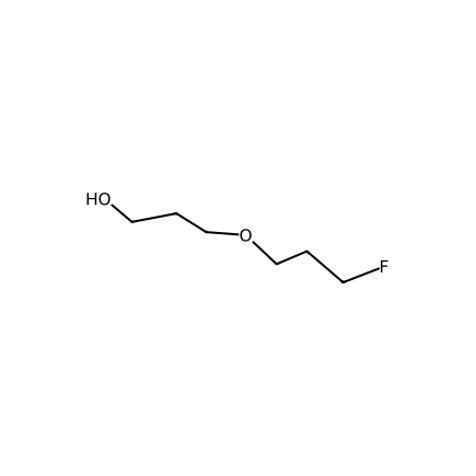 OCCCOCCCF